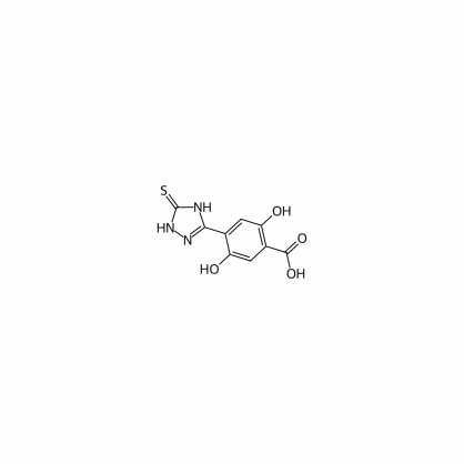 O=C(O)c1cc(O)c(-c2n[nH]c(=S)[nH]2)cc1O